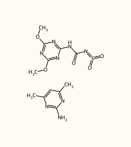 COc1nc(NC(=O)N=S(=O)=O)nc(OC)n1.Cc1cc(C)nc(N)n1